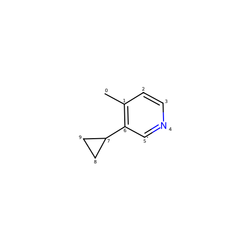 Cc1ccn[c]c1C1CC1